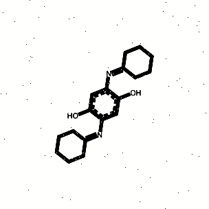 Oc1cc(N=C2CCCCC2)c(O)cc1N=C1CCCCC1